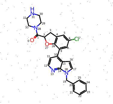 O=C(C1Cc2cc(Cl)cc(-c3ccnc4c3ccn4Cc3ccccc3)c2O1)N1CCNCC1